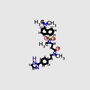 CN(CCc1ccc(C2=NCCN2)cc1)C(=O)CCN(C)S(=O)(=O)c1cccc2c(N(C)C)cccc12